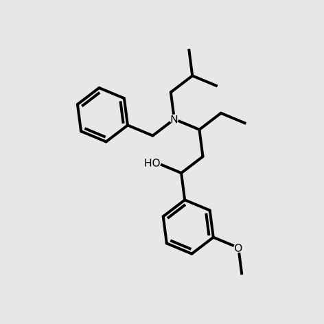 CCC(CC(O)c1cccc(OC)c1)N(Cc1ccccc1)CC(C)C